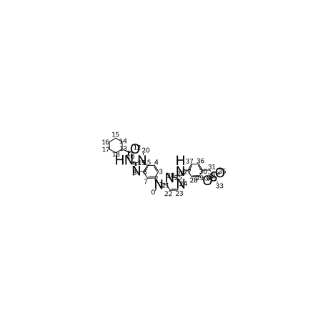 CN(c1ccc2c(c1)nc(NC(=O)C1CCCCC1)n2C)c1ccnc(Nc2ccc(CS(C)(=O)=O)cc2)n1